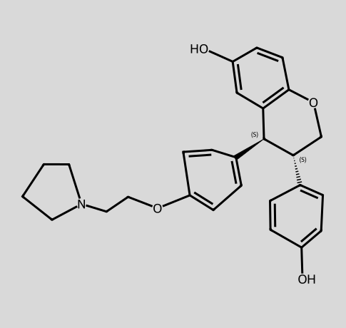 Oc1ccc([C@H]2COc3ccc(O)cc3[C@@H]2c2ccc(OCCN3CCCC3)cc2)cc1